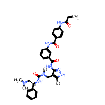 C=CC(=O)Nc1ccc(C(=O)Nc2cccc(C(=O)Nc3n[nH]c(CC)c3CN(CC)C(=O)N[C@H](CN(C)C)c3ccccc3)c2)cc1